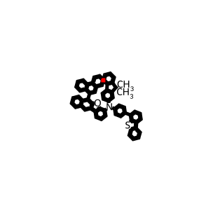 CC1(C)c2ccccc2-c2ccc(N(c3ccc(-c4cccc5c4sc4ccccc45)cc3)c3cccc4c3oc3c(-c5cc6ccccc6c6ccccc56)c5ccccc5cc34)cc21